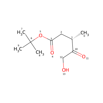 C[C@@H](CC(=O)OC(C)(C)C)C(=O)CO